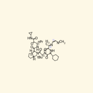 C=N/C=C\N=C(/C)C(=O)N[C@H](C(=O)N[C@H](C(=O)N1C[C@@H]2CCC[C@@H]2[C@H]1C(=O)N[C@@H](CCC)C(=O)C(=O)NC1CC1)C(C)(C)C)C1CCCCC1